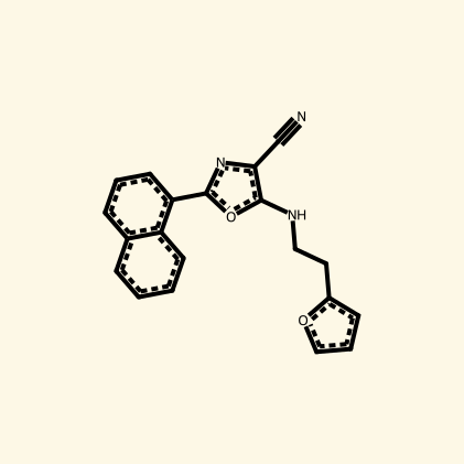 N#Cc1nc(-c2cccc3ccccc23)oc1NCCc1ccco1